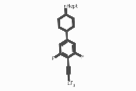 CCCCCCCC1CCC(c2cc(F)c(C#CC(F)(F)F)c(F)c2)CC1